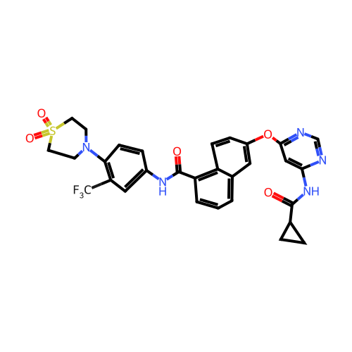 O=C(Nc1ccc(N2CCS(=O)(=O)CC2)c(C(F)(F)F)c1)c1cccc2cc(Oc3cc(NC(=O)C4CC4)ncn3)ccc12